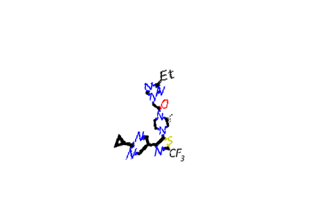 CCc1ncn(CC(=O)N2CCN(c3sc(C(F)(F)F)nc3-c3cnc(C4CC4)nc3)C[C@H]2C)n1